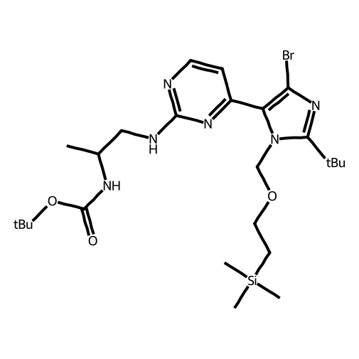 CC(CNc1nccc(-c2c(Br)nc(C(C)(C)C)n2COCC[Si](C)(C)C)n1)NC(=O)OC(C)(C)C